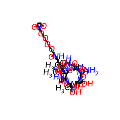 CC[C@H](C)[C@@H]1NC(=O)CNC(=O)[C@@H]2Cc3c([nH]c4c(CSCCCCNC(=O)CCOCCOCCOCCOCCN5C(=O)C=CC5=O)c(OC)ccc34)[S+]([O-])C[C@H](NC(=O)CNC1=O)C(=O)N[C@@H](CC(N)=O)C(=O)N1C[C@H](O)C[C@H]1C(=O)N[C@@H]([C@@H](C)[C@@H](O)CO)C(=O)N2